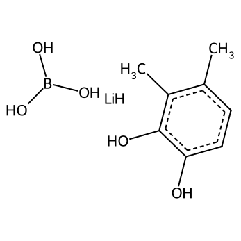 Cc1ccc(O)c(O)c1C.OB(O)O.[LiH]